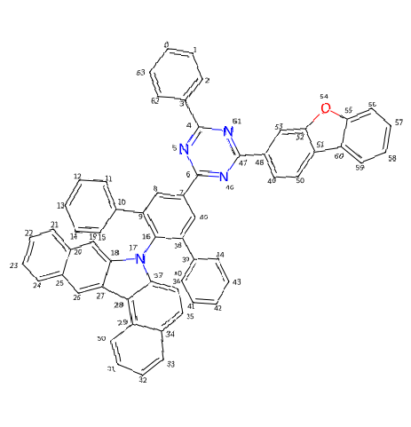 c1ccc(-c2nc(-c3cc(-c4ccccc4)c(-n4c5cc6ccccc6cc5c5c6ccccc6ccc54)c(-c4ccccc4)c3)nc(-c3ccc4c(c3)oc3ccccc34)n2)cc1